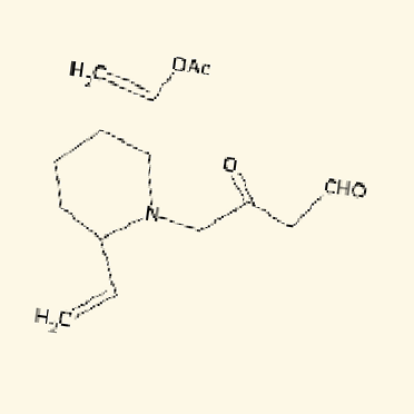 C=CC1CCCCN1CC(=O)CC=O.C=COC(C)=O